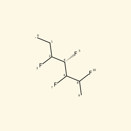 [CH2]CC(F)[C@H](F)C(F)C(C)F